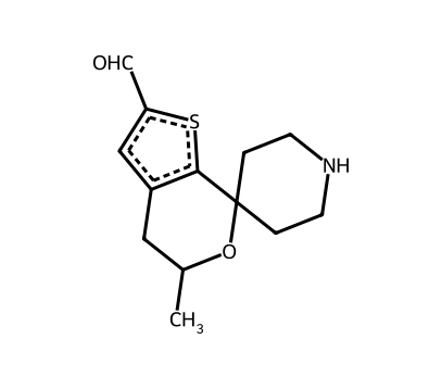 CC1Cc2cc(C=O)sc2C2(CCNCC2)O1